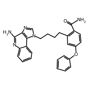 NC(=O)c1ccc(Oc2ccccc2)cc1CCCCn1cnc2c(N)nc3ccccc3c21